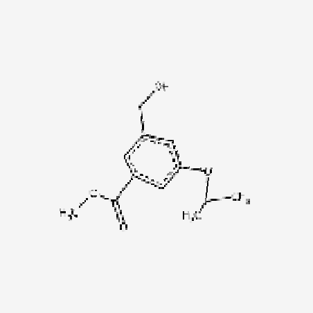 COC(=O)c1cc(CO)cc(OC(C)C)c1